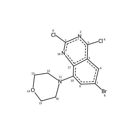 Clc1nc(Cl)c2cc(Br)cc(N3CCOCC3)c2n1